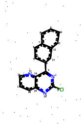 Clc1nc(-c2ccc3ccccc3c2)c2ncccc2n1